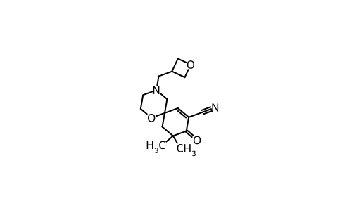 CC1(C)CC2(C=C(C#N)C1=O)CN(CC1COC1)CCO2